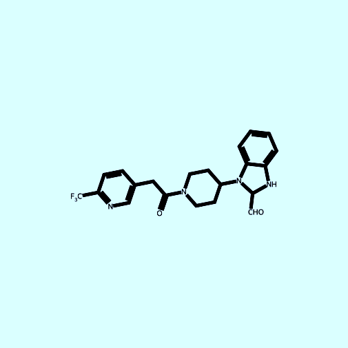 O=CC1Nc2ccccc2N1C1CCN(C(=O)Cc2ccc(C(F)(F)F)nc2)CC1